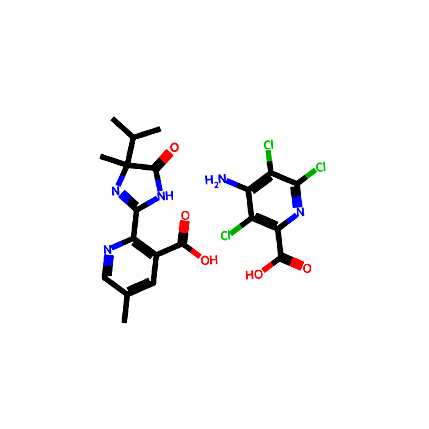 Cc1cnc(C2=NC(C)(C(C)C)C(=O)N2)c(C(=O)O)c1.Nc1c(Cl)c(Cl)nc(C(=O)O)c1Cl